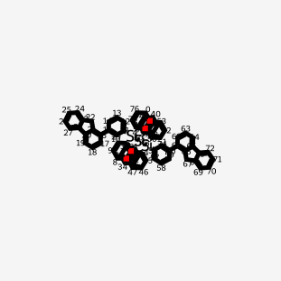 c1ccc([Si](c2ccccc2)(c2cccc(-c3cccc4c3Cc3ccccc3-4)c2)[Si](c2ccccc2)(c2ccccc2)[Si](c2ccccc2)(c2ccccc2)c2cccc(-c3cccc4c3Cc3ccccc3-4)c2)cc1